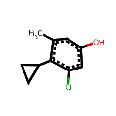 Cc1cc(O)cc(Cl)c1C1CC1